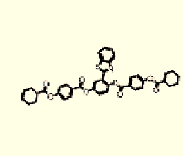 O=C(Oc1ccc(OC(=O)c2ccc(OC(=O)C3CCCCC3)cc2)c(-c2nc3ccccc3s2)c1)c1ccc(OC(=O)C2CCCCC2)cc1